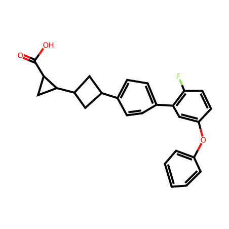 O=C(O)C1CC1C1CC(c2ccc(-c3cc(Oc4ccccc4)ccc3F)cc2)C1